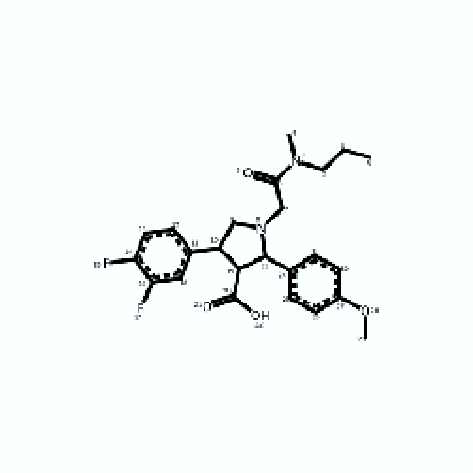 CCCN(C)C(=O)CN1CC(c2ccc(F)c(F)c2)C(C(=O)O)C1c1ccc(OC)cc1